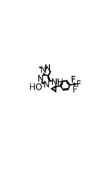 Cn1ncc2c(NC3(c4ccc(C(F)(F)F)cc4)CC3)nc(O)nc21